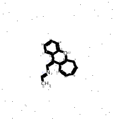 C/C=N/C=C1\C2=C(CC=CC=C2)Oc2ccccc21